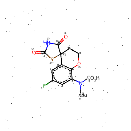 CCCCN(C(=O)O)c1cc(F)cc2c1OCCC21SC(=O)NC1=O